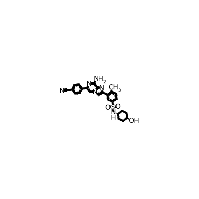 Cc1ccc(S(=O)(=O)N[C@H]2CC[C@H](O)CC2)cc1-c1cn2cc(-c3ccc(C#N)cc3)nc(N)c2n1